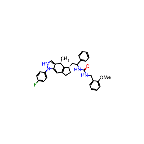 COc1ccccc1CNC(=O)NC(C[C@H]1CCC2=C1[C@@H](C)C1=CNN(c3ccc(F)cc3)C1=C2)c1ccccc1